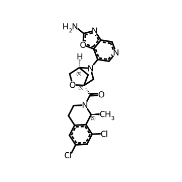 C[C@H]1c2c(Cl)cc(Cl)cc2CCN1C(=O)[C@@]12C[C@@H](CO1)N(c1cncc3nc(N)oc13)C2